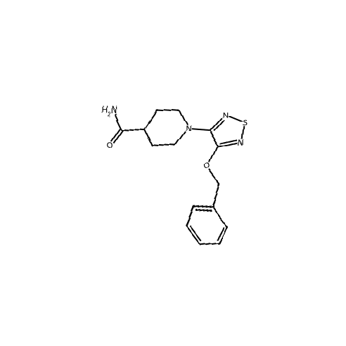 NC(=O)C1CCN(c2nsnc2OCc2ccccc2)CC1